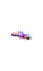 CN(C)CC(O)CCCCCNC(=O)Nc1snc(OCc2c(F)cc(Cl)cc2F)c1C(N)=O